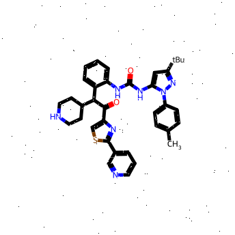 Cc1ccc(-n2nc(C(C)(C)C)cc2NC(=O)Nc2ccccc2C(C(=O)c2csc(-c3cccnc3)n2)C2CCNCC2)cc1